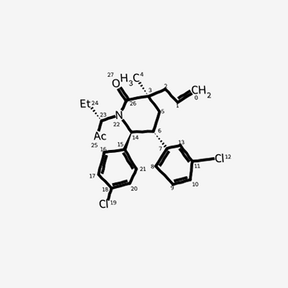 C=CC[C@@]1(C)C[C@H](c2cccc(Cl)c2)[C@@H](c2ccc(Cl)cc2)N([C@@H](CC)C(C)=O)C1=O